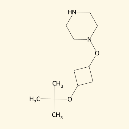 CC(C)(C)OC1CC(ON2CCNCC2)C1